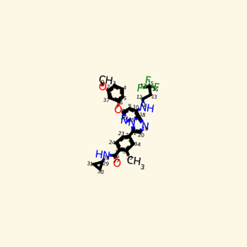 COc1cccc(Oc2cc(NCCC(F)(F)F)c3ncc(-c4ccc(C(=O)NC5CC5)c(C)c4)n3n2)c1